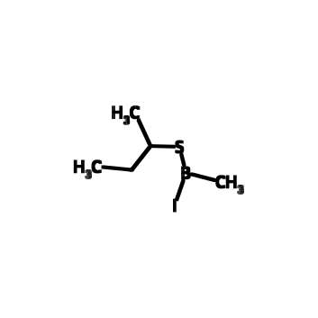 CCC(C)SB(C)I